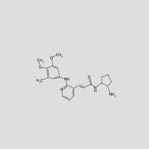 COc1cc(Nc2ncccc2/C=C/C(=O)NC2CCCC2N)cc(C)c1OC